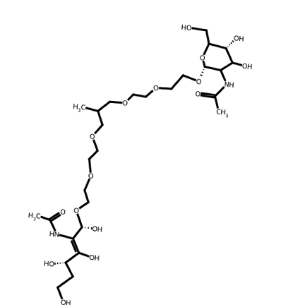 CC(=O)N/C(=C(/O)[C@@H](O)CCO)[C@@H](O)OCCOCCOCC(C)COCCOCCO[C@@H]1OC(CO)[C@H](O)C(O)C1NC(C)=O